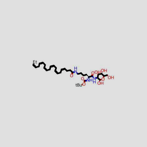 CC/C=C\C/C=C\C/C=C\C/C=C\C/C=C\C/C=C\CCC(=O)NCCCC[C@H](NC(=O)OC(C)(C)C)C(=O)NC1C(O)[C@H](O)C(CO)O[C@H]1O